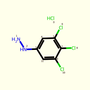 Cl.NNc1cc(Cl)c(Cl)c(Cl)c1